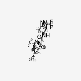 CC(C)c1nn(CC(=O)Nc2ccc3nnc(C(F)F)n3c2)c(=O)c2cc(C3CC3)nn12